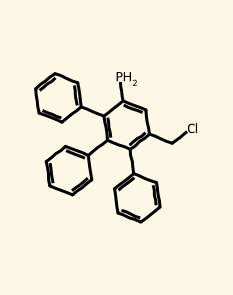 Pc1cc(CCl)c(-c2ccccc2)c(-c2ccccc2)c1-c1ccccc1